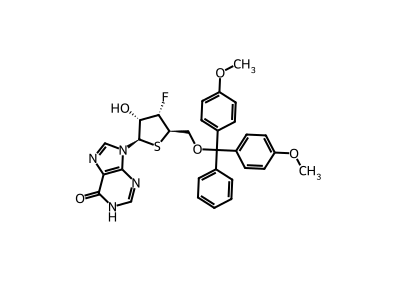 COc1ccc(C(OC[C@H]2S[C@@H](n3cnc4c(=O)[nH]cnc43)[C@H](O)[C@@H]2F)(c2ccccc2)c2ccc(OC)cc2)cc1